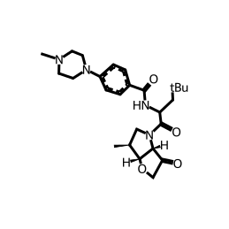 C[C@H]1CN(C(=O)C(CC(C)(C)C)NC(=O)c2ccc(N3CCN(C)CC3)cc2)[C@@H]2C(=O)CO[C@@H]21